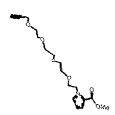 C#CCOCCOCCOCCOCCn1cccc1C(=O)OC